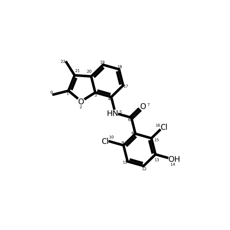 Cc1oc2c(NC(=O)c3c(Cl)ccc(O)c3Cl)cccc2c1C